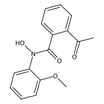 COc1ccccc1N(O)C(=O)c1ccccc1C(C)=O